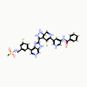 CS(=O)(=O)NCc1cc(F)cc(-c2cncc3[nH]c(-c4n[nH]c5cnc(-c6cncc(NC(=O)c7ccccc7)c6)c(F)c45)nc23)c1